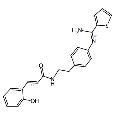 N/C(=N\c1ccc(CCNC(=O)/C=C/c2ccccc2O)cc1)c1cccs1